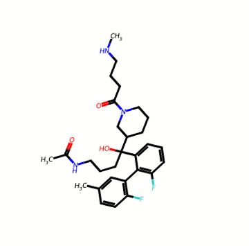 CNCCCC(=O)N1CCCC(C(O)(CCCNC(C)=O)c2cccc(F)c2-c2cc(C)ccc2F)C1